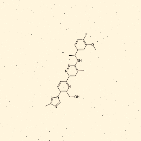 COc1cc([C@H](C)Nc2nnc(-c3ccc(-n4cnc(C)c4)c(CO)n3)cc2C)ccc1F